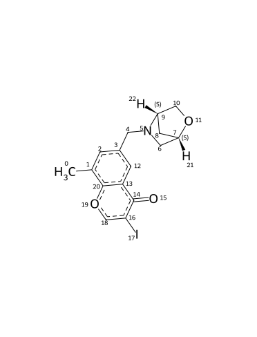 Cc1cc(CN2C[C@@H]3C[C@H]2CO3)cc2c(=O)c(I)coc12